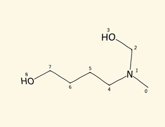 CN(CO)CCCCO